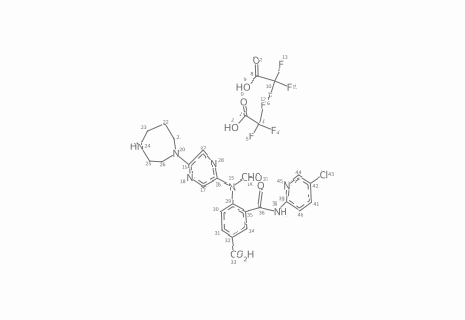 O=C(O)C(F)(F)F.O=C(O)C(F)(F)F.O=CN(c1cnc(N2CCCNCC2)cn1)c1ccc(C(=O)O)cc1C(=O)Nc1ccc(Cl)cn1